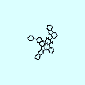 c1ccc(-c2ccc(-c3nc(-c4ccccc4-n4c5ccccc5c5cc6ccccc6cc54)nc(-c4cccc5c4sc4ccccc45)n3)cc2)cc1